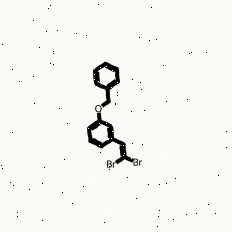 BrC(Br)=Cc1cccc(OCc2ccccc2)c1